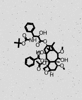 CO[C@@H]1C2=C(C)[C@@H](OC(=O)[C@H](O)[C@@H](NC(=O)OC(C)(C)C)c3ccccc3)C[C@@](O)([C@@H](OC(=O)c3ccccc3)[C@@H]3[C@]4(OC(C)=O)CO[C@@H]4C[C@H](OC)[C@@]3(C)C1O)C2(C)C